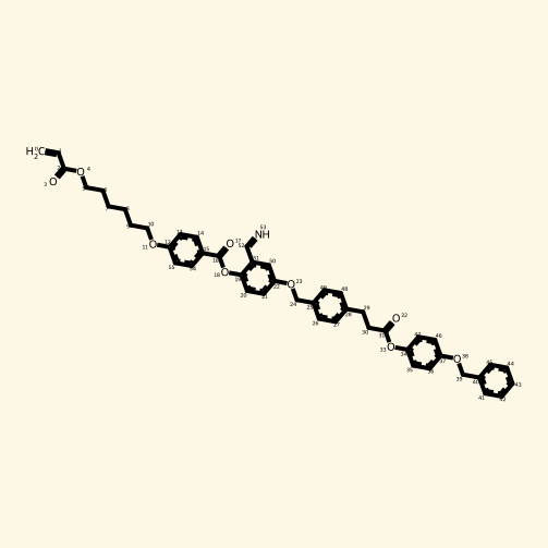 C=CC(=O)OCCCCCCOc1ccc(C(=O)Oc2ccc(OCc3ccc(CCC(=O)Oc4ccc(OCc5ccccc5)cc4)cc3)cc2C=N)cc1